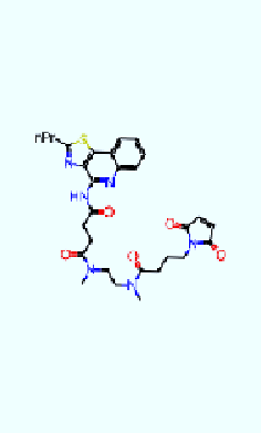 CCCc1nc2c(NC(=O)CCC(=O)N(C)CCN(C)C(=O)CCCN3C(=O)C=CC3=O)nc3ccccc3c2s1